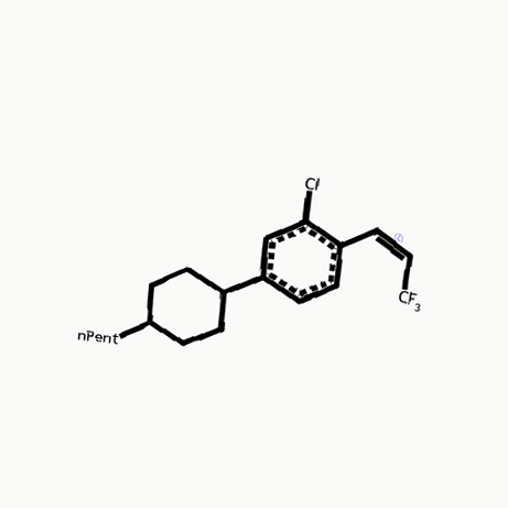 CCCCCC1CCC(c2ccc(/C=C\C(F)(F)F)c(Cl)c2)CC1